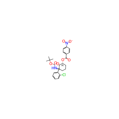 CC(C)(C)OC(=O)N[C@]1(c2ccccc2Cl)CCC[C@@H](OC(=O)c2ccc([N+](=O)[O-])cc2)C1=O